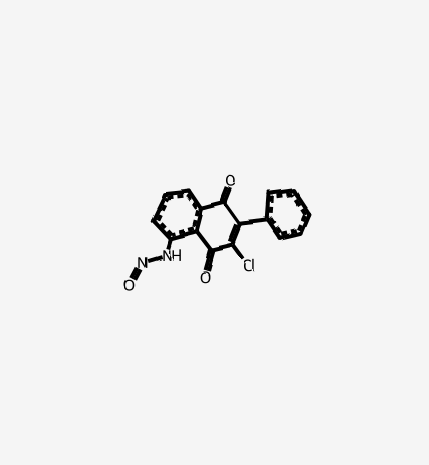 O=NNc1cccc2c1C(=O)C(Cl)=C(c1ccccc1)C2=O